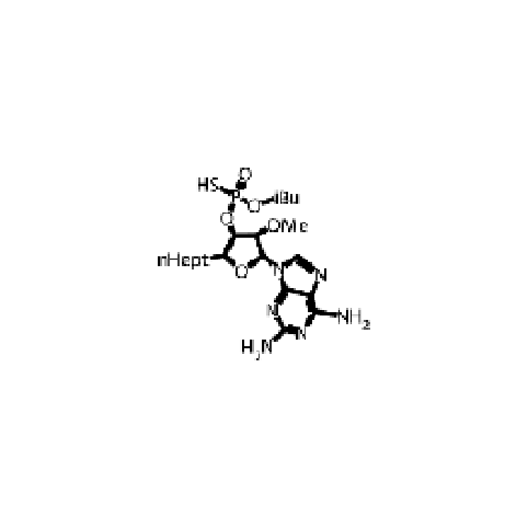 CCCCCCCC1OC(n2cnc3c(N)nc(N)nc32)C(OC)C1OP(=O)(S)OC(C)CC